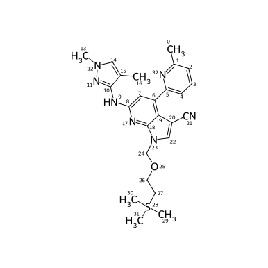 Cc1cccc(-c2cc(Nc3nn(C)cc3C)nc3c2c(C#N)cn3COCCS(C)(C)C)n1